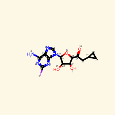 Nc1nc(I)nc2c1ncn2C1OC(C(=O)CC2CC2)C(O)C1O